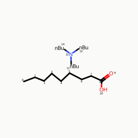 CCCCCCCCC(=O)O.CCCCN(CCCC)CCCC